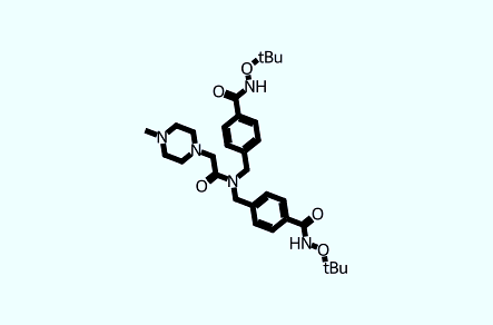 CN1CCN(CC(=O)N(Cc2ccc(C(=O)NOC(C)(C)C)cc2)Cc2ccc(C(=O)NOC(C)(C)C)cc2)CC1